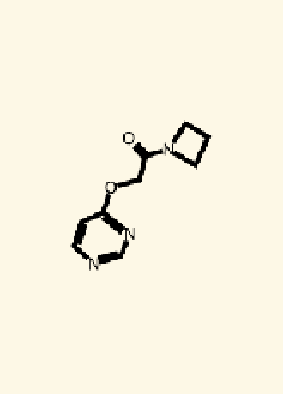 O=C(COc1ccncn1)N1CCC1